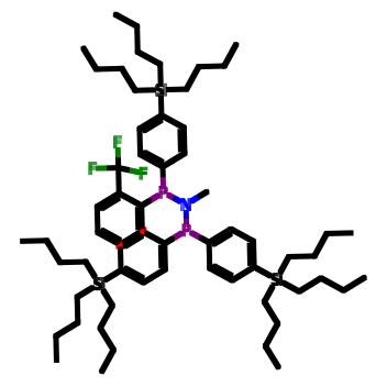 CCCC[Si](CCCC)(CCCC)c1ccc(P(c2ccc([Si](CCCC)(CCCC)CCCC)cc2)N(C)P(c2ccc([Si](CCCC)(CCCC)CCCC)cc2)c2ccccc2C(F)(F)F)cc1